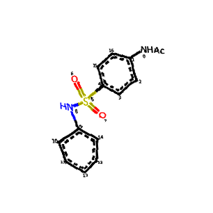 CC(=O)Nc1ccc(S(=O)(=O)Nc2c[c]ccc2)cc1